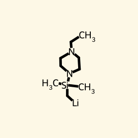 [Li][CH2][Si](C)(C)N1CCN(CC)CC1